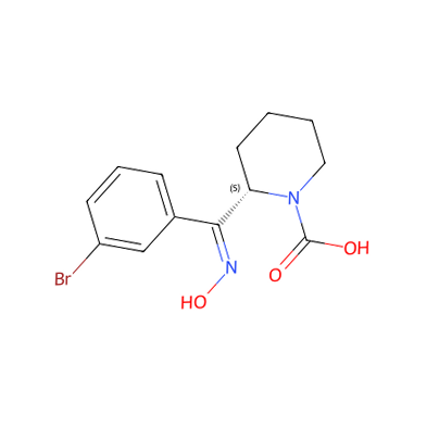 O=C(O)N1CCCC[C@H]1C(=NO)c1cccc(Br)c1